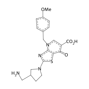 COc1ccc(Cn2cc(C(=O)O)c(=O)c3sc(N4CCC(CN)C4)nc32)cc1